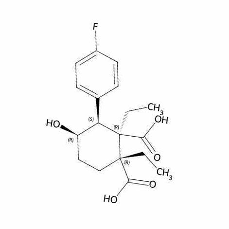 CC[C@@]1(C(=O)O)CC[C@@H](O)[C@@H](c2ccc(F)cc2)[C@@]1(CC)C(=O)O